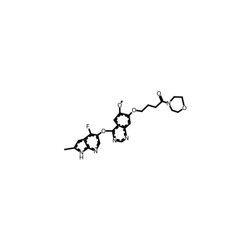 COc1cc2c(Oc3cnc4[nH]c(C)cc4c3F)ncnc2cc1OCCCC(=O)N1CCOCC1